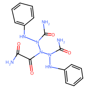 NC(=O)C(=O)N(N(Nc1ccccc1)C(N)=O)N(Nc1ccccc1)C(N)=O